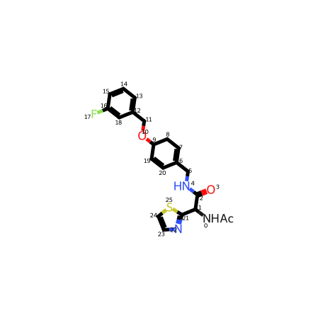 CC(=O)NC(C(=O)NCC1=CCC(OCc2cccc(F)c2)C=C1)c1nccs1